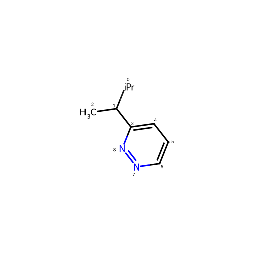 CC(C)C(C)c1cccnn1